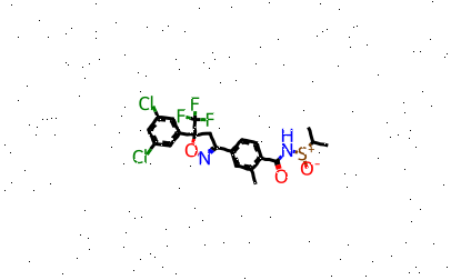 Cc1cc(C2=NOC(c3cc(Cl)cc(Cl)c3)(C(F)(F)F)C2)ccc1C(=O)N[S+]([O-])C(C)C